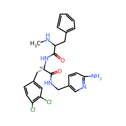 CNC(Cc1ccccc1)C(=O)N[C@@H](Cc1ccc(Cl)c(Cl)c1)C(=O)NCc1ccc(N)nc1